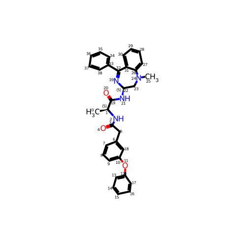 C[C@H](NC(=O)Cc1cccc(Oc2ccccc2)c1)C(=O)N[C@@H]1CN(C)c2ccccc2C(c2ccccc2)=N1